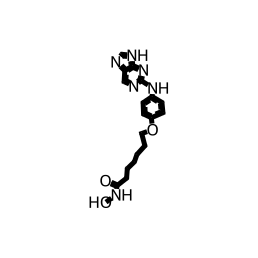 O=C(CCCCCCOc1ccc(Nc2ncc3nc[nH]c3n2)cc1)NO